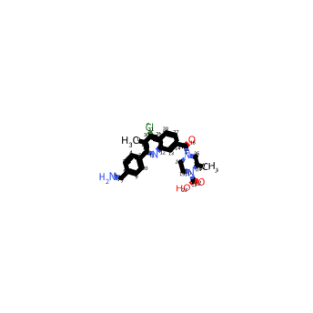 Cc1c(-c2ccc(CN)cc2)nc2cc(C(=O)N3CCN(C(=O)O)C(C)C3)ccc2c1Cl